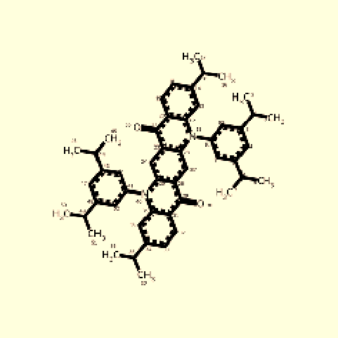 CC(C)c1cc(C(C)C)cc(-n2c3cc(C(C)C)ccc3c(=O)c3cc4c(cc32)c(=O)c2ccc(C(C)C)cc2n4-c2cc(C(C)C)cc(C(C)C)c2)c1